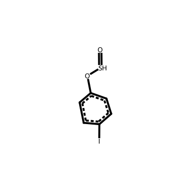 O=[SH]Oc1ccc(I)cc1